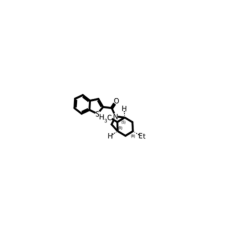 CC[C@@H]1C[C@H]2CN(C(=O)c3cc4ccccc4s3)[C@@H](C1)C2C